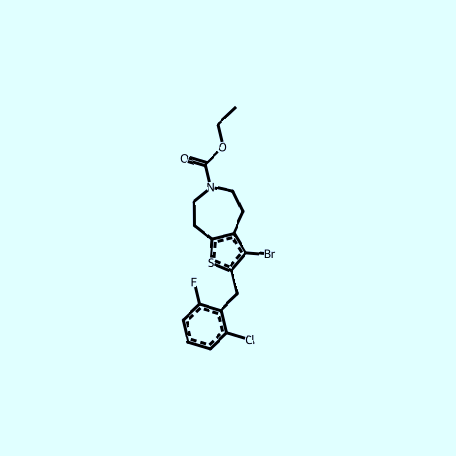 CCOC(=O)N1CCc2sc(Cc3c(F)cccc3Cl)c(Br)c2CC1